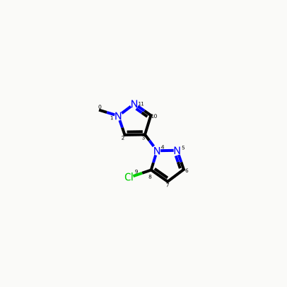 Cn1cc(-n2nccc2Cl)cn1